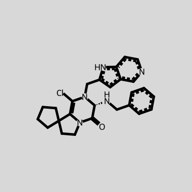 O=C1[C@@H](NCc2ccccc2)N(Cc2cc3cnccc3[nH]2)C(Cl)=C2N1CCC21CCCC1